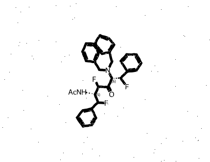 CC(=O)N[C@H](C(F)C(=O)[C@@H](C(F)c1ccccc1)N(Cc1ccccc1)Cc1ccccc1)C(F)c1ccccc1